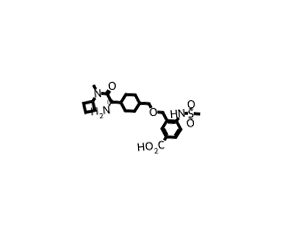 CN(C(=O)[C@@H](N)C1CCC(COCc2cc(C(=O)O)ccc2NS(C)(=O)=O)CC1)C1CCC1